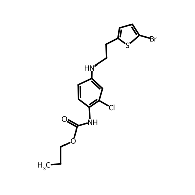 CCCOC(=O)Nc1ccc(NCCc2ccc(Br)s2)cc1Cl